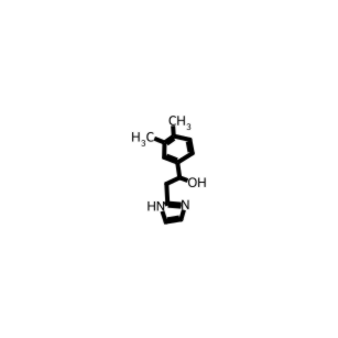 Cc1ccc(C(O)Cc2ncc[nH]2)cc1C